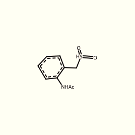 CC(=O)Nc1ccccc1C[SH](=O)=O